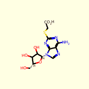 Nc1nc(SCC(=O)O)nc2c1ncn2[C@@H]1O[C@H](CO)C(O)C1O